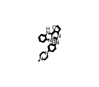 CN1CCN(c2ccc(Nc3nc(Nc4ccccc4N)c4occc4n3)cc2)CC1